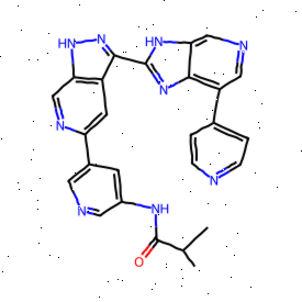 CC(C)C(=O)Nc1cncc(-c2cc3c(-c4nc5c(-c6ccncc6)cncc5[nH]4)n[nH]c3cn2)c1